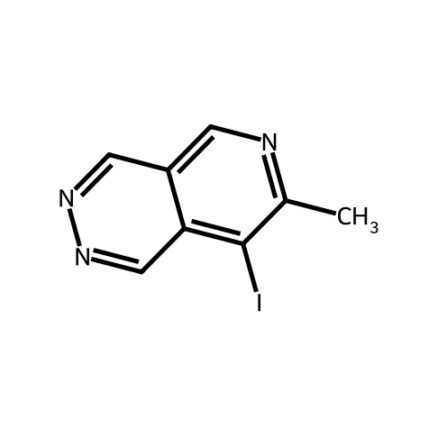 Cc1ncc2cnncc2c1I